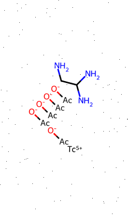 CC(=O)[O-].CC(=O)[O-].CC(=O)[O-].CC(=O)[O-].CC(=O)[O-].NCC(N)N.[Tc+5]